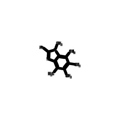 Cc1c(C)c(C)c2c(nc(C(C)C)n2C)c1C